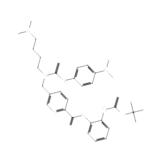 C=C(Nc1ccccc1NC(=O)c1ccc(CN(CCCCN(C)C)C(=C)Nc2ccc(N(C)C)cc2)cn1)OC(C)(C)C